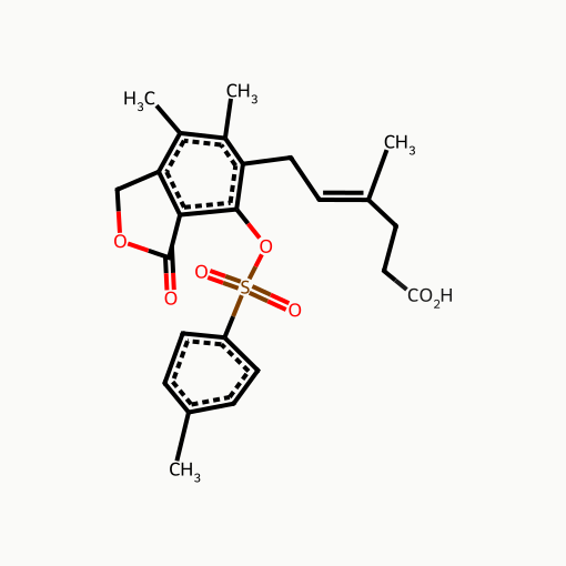 C/C(=C\Cc1c(C)c(C)c2c(c1OS(=O)(=O)c1ccc(C)cc1)C(=O)OC2)CCC(=O)O